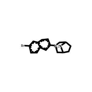 CN1C2CCC1CN(c1ccc3cc(Br)ccc3c1)C2